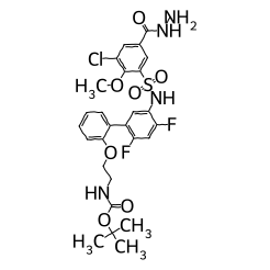 COc1c(Cl)cc(C(=O)NN)cc1S(=O)(=O)Nc1cc(-c2ccccc2OCCNC(=O)OC(C)(C)C)c(F)cc1F